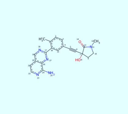 Cc1ccc(C#CC2(O)CCN(C)C2=O)cc1-c1ncc2ccnc(N)c2n1